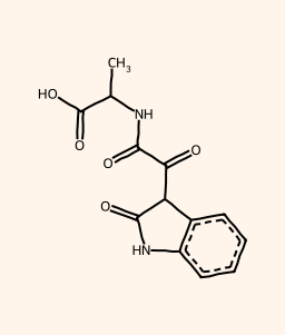 CC(NC(=O)C(=O)C1C(=O)Nc2ccccc21)C(=O)O